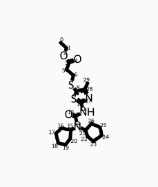 CCOC(=O)CCSc1sc(NC(=O)N(C2CCCCC2)C2CCCCC2)nc1C